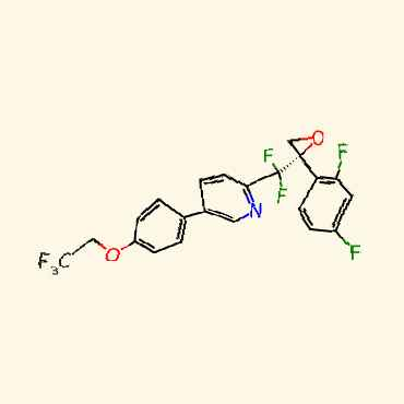 Fc1ccc([C@@]2(C(F)(F)c3ccc(-c4ccc(OCC(F)(F)F)cc4)cn3)CO2)c(F)c1